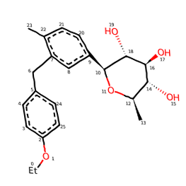 CCOc1ccc(Cc2cc([C@@H]3O[C@H](C)[C@@H](O)[C@H](O)[C@H]3O)ccc2C)cc1